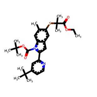 CCOC(=O)C(C)(C)Sc1cc2cc(-c3cc(C(C)(C)C)ccn3)n(C(=O)OC(C)(C)C)c2cc1C